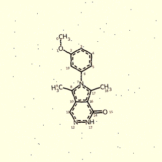 COc1cccc(-n2c(C)c3cn[nH]c(=O)c3c2C)c1